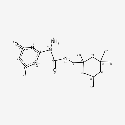 Cc1cc(=O)nc(N(N)C(=O)NCC2(C)CC(C)CC(C)(C)C2)[nH]1